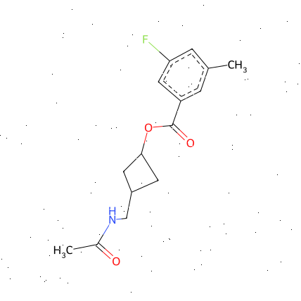 CC(=O)NCC1CC(OC(=O)c2cc(C)cc(F)c2)C1